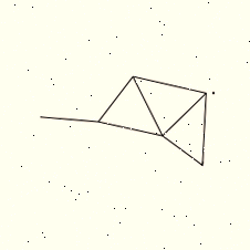 CC1C2[C]3CC312